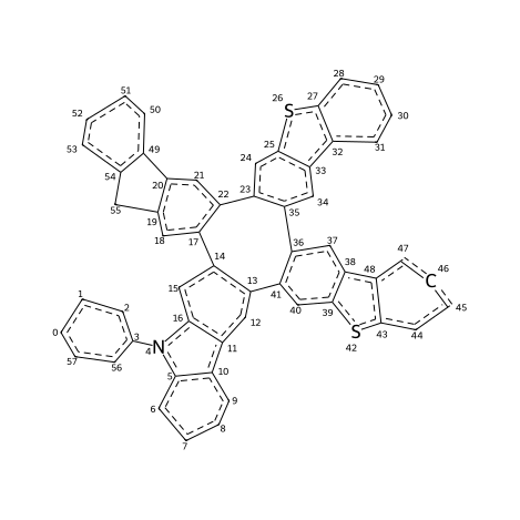 c1ccc(-n2c3ccccc3c3cc4c(cc32)-c2cc3c(cc2-c2cc5sc6ccccc6c5cc2-c2cc5c(cc2-4)sc2ccccc25)-c2ccccc2C3)cc1